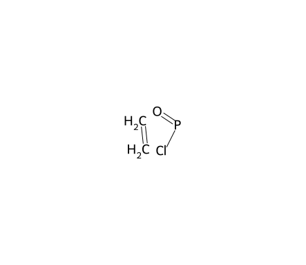 C=C.O=PCl